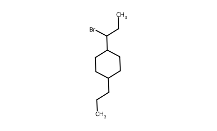 CCCC1CCC(C(Br)CC)CC1